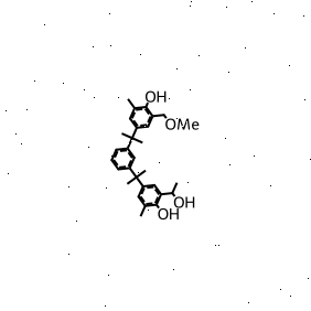 COCc1cc(C(C)(C)c2cccc(C(C)(C)c3cc(C)c(O)c(C(C)O)c3)c2)cc(C)c1O